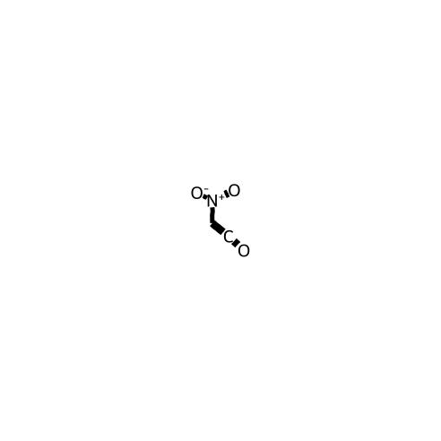 O=C=C[N+](=O)[O-]